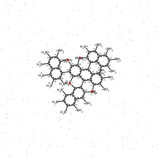 Bc1c(B)c(B)c2c(B)c(-c3c4c(B)c(B)c(B)c(B)c4c(-c4c(B)c(B)c(B)c5c(B)c(B)c(B)c(B)c45)c4c(B)c(B)c(-c5c(B)c(B)c(B)c6c(B)c(B)c(B)c(B)c56)c(B)c34)c(B)c(B)c2c1B